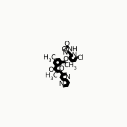 Cc1cc([C@@H](C)Oc2ccc(Cl)nc2-c2noc(=O)[nH]2)c2oc(-c3cnc4cccnc4c3)c(C)c(=O)c2c1